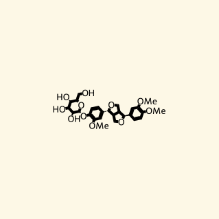 COc1ccc([C@H]2OCC3C2CO[C@H]3c2ccc(O[C@@H]3OC(CO)[C@@H](O)C(O)[C@@H]3O)c(OC)c2)cc1OC